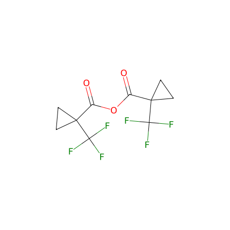 O=C(OC(=O)C1(C(F)(F)F)CC1)C1(C(F)(F)F)CC1